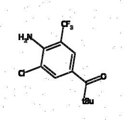 CC(C)(C)C(=O)c1cc(Cl)c(N)c(C(F)(F)F)c1